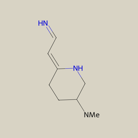 CNC1CC/C(=C/C=N)NC1